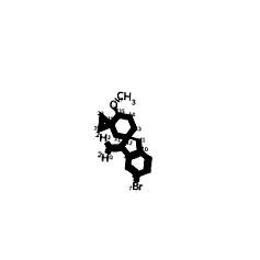 [2H]C([2H])=C1c2cc(Br)ccc2C[C@@]12CC[C@H](OC)C1(CC1)C2